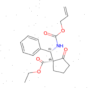 C=CCOC(=O)N[C@@H](c1ccccc1)[C@]1(C(=O)OCC)CCCC1=O